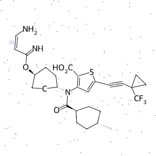 C[C@H]1CC[C@H](C(=O)N(c2cc(C#CC3(C(F)(F)F)CC3)sc2C(=O)O)[C@H]2CC[C@H](OC(=N)/C=C\N)CC2)CC1